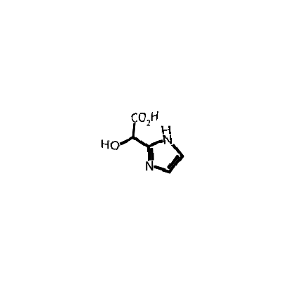 O=C(O)C(O)c1ncc[nH]1